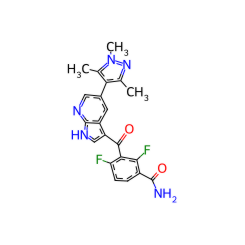 Cc1nn(C)c(C)c1-c1cnc2[nH]cc(C(=O)c3c(F)ccc(C(N)=O)c3F)c2c1